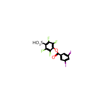 O=C(Oc1c(F)c(F)c(S(=O)(=O)O)c(F)c1F)c1cc(I)cc(I)c1